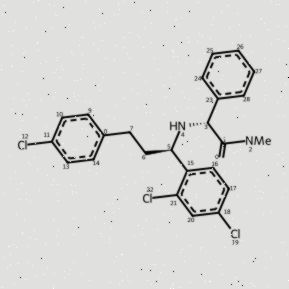 C=C(NC)[C@H](N[C@H](CCc1ccc(Cl)cc1)c1ccc(Cl)cc1Cl)c1ccccc1